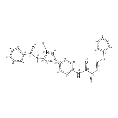 C=C(/C=C/Cc1ccccc1)C(=O)Nc1ccc(-c2cc(NC(=O)c3ccccc3)n(C)n2)cc1